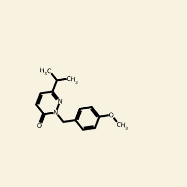 COc1ccc(Cn2nc(C(C)C)ccc2=O)cc1